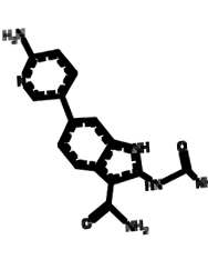 NC(=O)Nc1[nH]c2cc(-c3ccc(N)nc3)ccc2c1C(N)=O